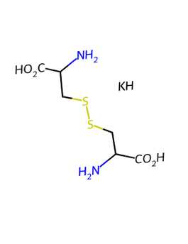 NC(CSSCC(N)C(=O)O)C(=O)O.[KH]